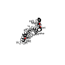 CCN[C@H]1CO[C@@H](O[C@H]2[C@H](O[C@H]3C#CC=CC#C[C@]4(O)CC(=O)C(NC(=O)OC)=C3/C4=C\CSSc3ccccc3C(=O)O)O[C@H](C)[C@@H](NO[C@H]3C[C@H](O)[C@H](SC(=O)c4c(C)c(I)c(O[C@@H]5O[C@@H](C)[C@H](O)[C@@H](OC)[C@H]5O)c(OC)c4OC)[C@@H](C)O3)[C@@H]2O)C[C@@H]1OC